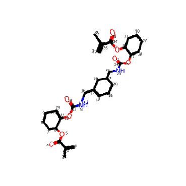 C=C(C)C(=O)OC1CCCCC1OC(=O)NCC1CCCC(CNC(=O)OC2CCCCC2OC(=O)C(=C)C)C1